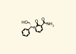 NC(=O)c1cccn([C@@H](CO)c2ccccc2)c1=O